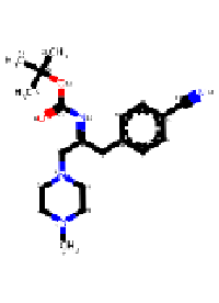 CN1CCN(C/C(Cc2ccc(C#N)cc2)=N\C(=O)OC(C)(C)C)CC1